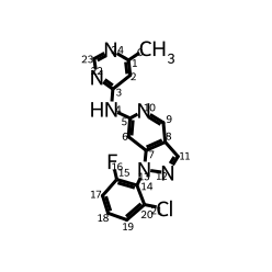 Cc1cc(Nc2cc3c(cn2)cnn3-c2c(F)cccc2Cl)ncn1